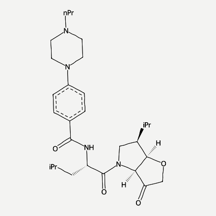 CCCN1CCN(c2ccc(C(=O)N[C@@H](CC(C)C)C(=O)N3C[C@@H](C(C)C)[C@H]4OCC(=O)[C@H]43)cc2)CC1